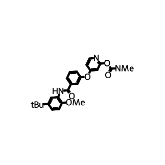 CNC(=O)Oc1cc(Oc2cccc(C(=O)Nc3cc(C(C)(C)C)ccc3OC)c2)ccn1